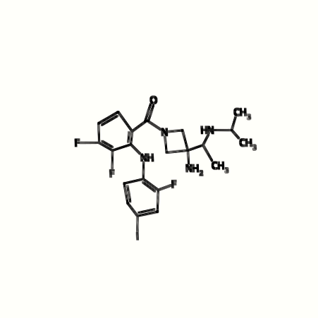 CC(C)NC(C)C1(N)CN(C(=O)c2ccc(F)c(F)c2Nc2ccc(I)cc2F)C1